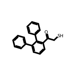 O=C(CS)c1cccc(-c2ccccc2)c1-c1ccccc1